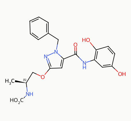 C[C@@H](COc1cc(C(=O)Nc2cc(O)ccc2O)n(Cc2ccccc2)n1)NC(=O)O